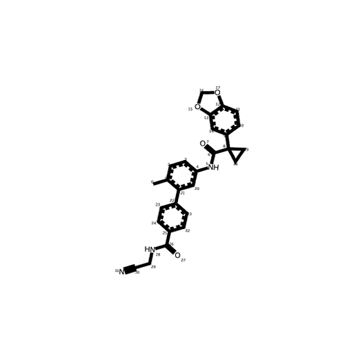 Cc1ccc(NC(=O)C2(c3ccc4c(c3)OCO4)CC2)cc1-c1ccc(C(=O)NCC#N)cc1